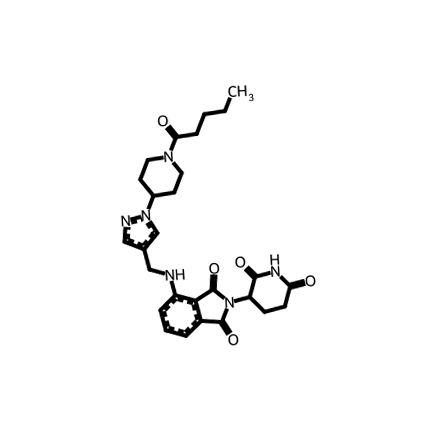 CCCCC(=O)N1CCC(n2cc(CNc3cccc4c3C(=O)N(C3CCC(=O)NC3=O)C4=O)cn2)CC1